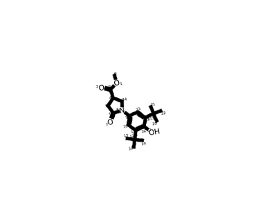 COC(=O)C1CC(=O)N(c2cc(C(C)(C)C)c(O)c(C(C)(C)C)c2)C1